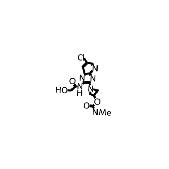 CNC(=O)OC1CN(c2nc3ncc(Cl)cc3nc2NC(=O)CO)C1